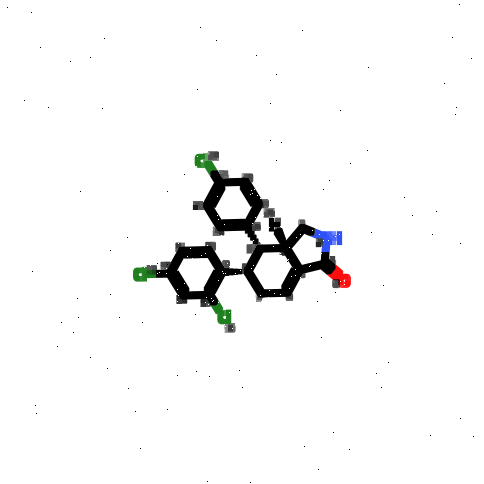 O=C1NC[C@@H]2C1=CC[C@H](c1ccc(Cl)cc1Cl)[C@@H]2c1ccc(Cl)cc1